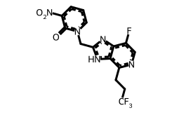 O=c1c([N+](=O)[O-])cccn1Cc1nc2c(F)cnc(CCC(F)(F)F)c2[nH]1